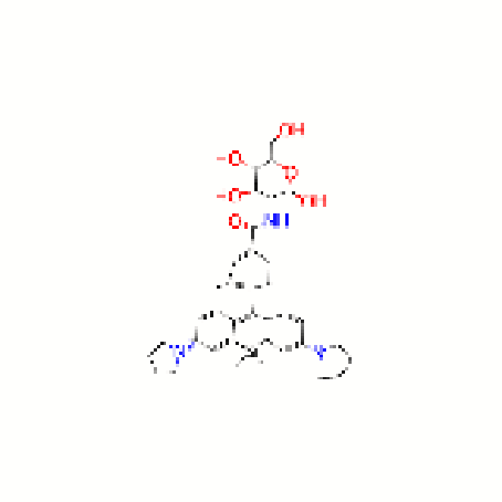 Cc1cc(C(=O)NC2[C@H](O)OC(CO)[C@@H](O)[C@@H]2O)ccc1C1=C2C=CC(=[N+]3CCCC3)C=C2[Si](C)(C)c2cc(N3CCCC3)ccc21